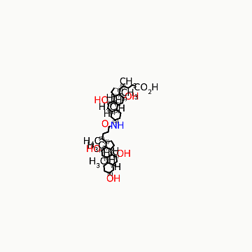 C[C@H](CCC(=O)N[C@H]1CC[C@@]2(C)[C@@H](C1)C[C@@H](O)[C@@H]1[C@@H]2C[C@H](O)[C@]2(C)[C@@H]([C@H](C)CCC(=O)O)CC[C@@H]12)[C@H]1CC[C@H]2[C@@H]3[C@H](O)C[C@@H]4C[C@H](O)CCC4(C)[C@H]3C[C@H](O)[C@]12C